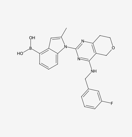 Cc1cc2c(B(O)O)cccc2n1-c1nc2c(c(NCc3cccc(F)c3)n1)COCC2